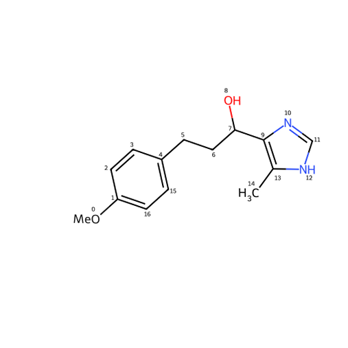 COc1ccc(CCC(O)c2nc[nH]c2C)cc1